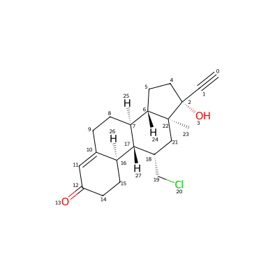 C#C[C@]1(O)CC[C@H]2[C@@H]3CCC4=CC(=O)CC[C@@H]4[C@H]3[C@@H](CCl)C[C@@]21C